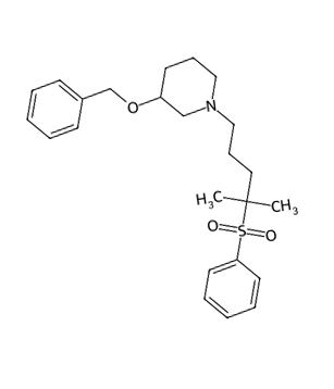 CC(C)(CCCN1CCCC(OCc2ccccc2)C1)S(=O)(=O)c1ccccc1